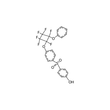 O=S(=O)(c1ccc(O)cc1)c1ccc(OC2(F)C(F)(F)C(F)(F)C2(F)Oc2ccccc2)cc1